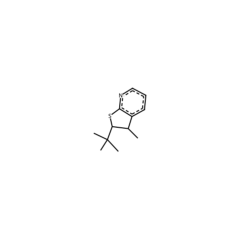 CC1c2cccnc2SC1C(C)(C)C